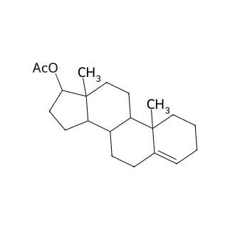 CC(=O)OC1CCC2C3CCC4=CCCCC4(C)C3CCC12C